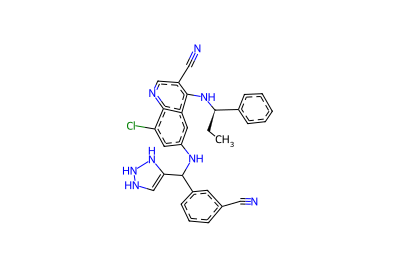 CC[C@@H](Nc1c(C#N)cnc2c(Cl)cc(NC(C3=CNNN3)c3cccc(C#N)c3)cc12)c1ccccc1